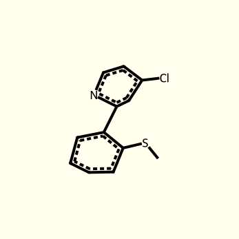 CSc1ccccc1-c1cc(Cl)ccn1